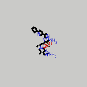 CCCN(C(=O)c1ccnc(N)n1)[C@H](CC)CCc1nc2c(-c3ccc(-c4ccccc4)nc3)cnn2c(N)c1S(C)(=O)=O